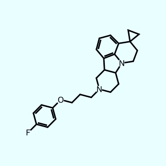 Fc1ccc(OCCCN2CCC3C(C2)c2cccc4c2N3CCC42CC2)cc1